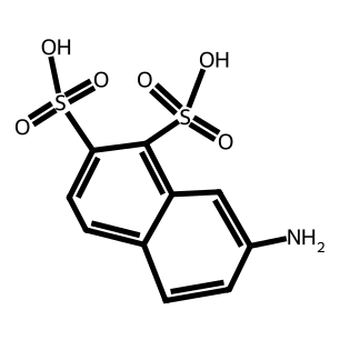 Nc1ccc2ccc(S(=O)(=O)O)c(S(=O)(=O)O)c2c1